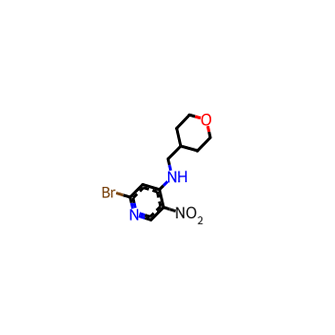 O=[N+]([O-])c1cnc(Br)cc1NCC1CCOCC1